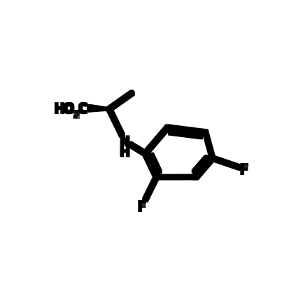 C[C@@H](Nc1ccc(F)cc1F)C(=O)O